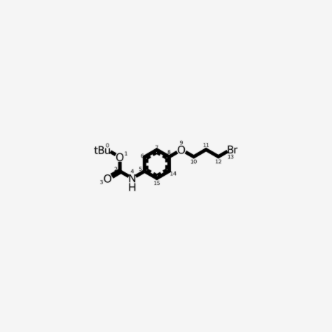 CC(C)(C)OC(=O)Nc1ccc(OCCCBr)cc1